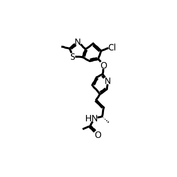 CC(=O)N[C@@H](C)/C=C/c1ccc(Oc2cc3sc(C)nc3cc2Cl)nc1